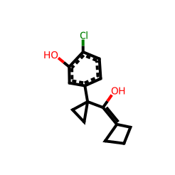 OC(=C1CCC1)C1(c2ccc(Cl)c(O)c2)CC1